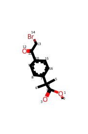 COC(=O)C(C)(C)c1ccc(C(=O)CBr)cc1